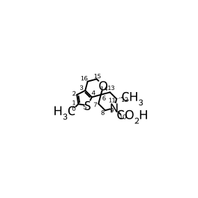 Cc1cc2c(s1)C1(CCN(C(=O)O)[C@@H](C)C1)OCC2